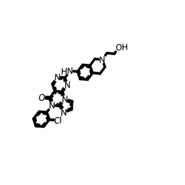 O=c1c2cnc(Nc3ccc4c(c3)CN(CCO)CC4)nc2n2ccnc2n1-c1ccccc1Cl